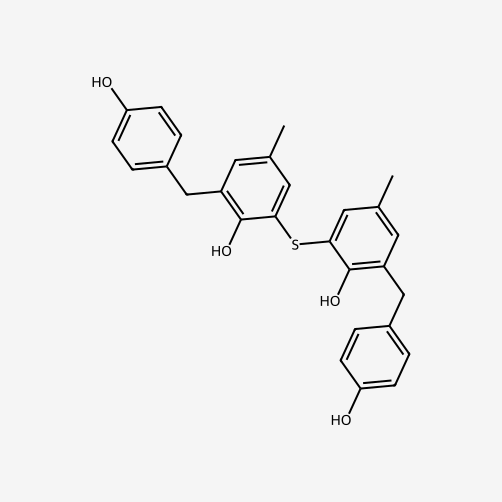 Cc1cc(Cc2ccc(O)cc2)c(O)c(Sc2cc(C)cc(Cc3ccc(O)cc3)c2O)c1